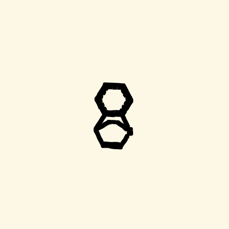 C1=CC2CCB1c1ccccc12